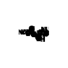 N#Cc1ccc2c3ccc(-n4c5ccccc5c5c(Nc6ccccc6)c(C=N)ccc54)cc3c3ccccc3c2c1